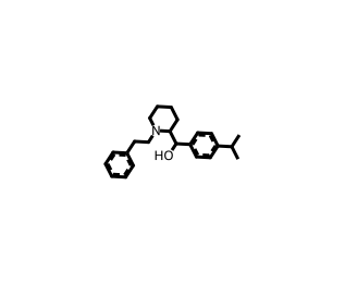 CC(C)c1ccc(C(O)C2CCCCN2CCc2ccccc2)cc1